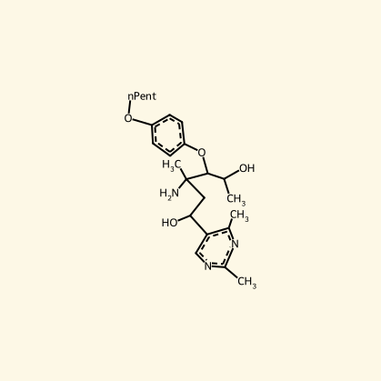 CCCCCOc1ccc(OC(C(C)O)C(C)(N)CC(O)c2cnc(C)nc2C)cc1